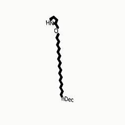 CCCCCCCCCCCCCCCCCCCCCCCCCCCCOCC1CCCN1